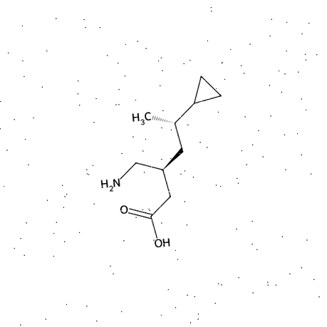 C[C@@H](C[C@H](CN)CC(=O)O)C1CC1